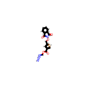 [N-]=[N+]=NCOC(=O)c1csc(CON2C(=O)c3ccccc3C2=O)c1